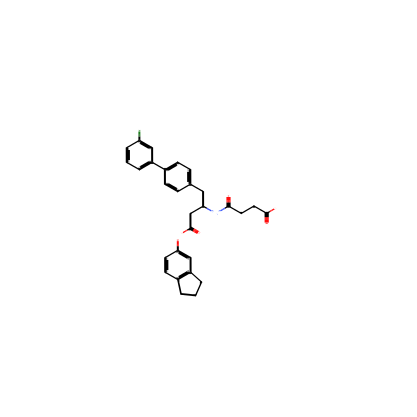 O=C(O)CCC(=O)NC(CC(=O)Oc1ccc2c(c1)CCC2)Cc1ccc(-c2cccc(Cl)c2)cc1